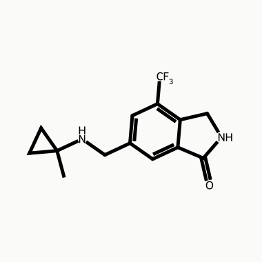 CC1(NCc2cc3c(c(C(F)(F)F)c2)CNC3=O)CC1